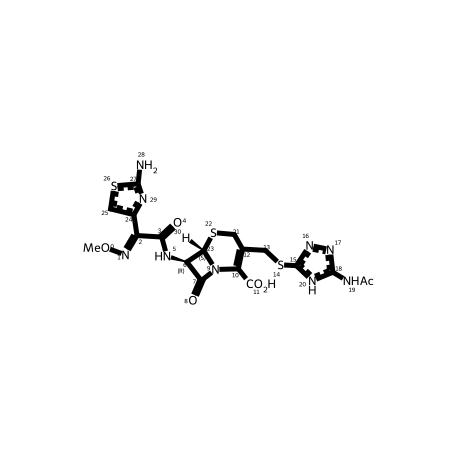 CON=C(C(=O)N[C@@H]1C(=O)N2C(C(=O)O)=C(CSc3nnc(NC(C)=O)[nH]3)CS[C@@H]12)c1csc(N)n1